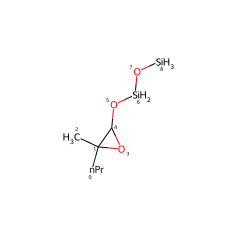 CCCC1(C)OC1O[SiH2]O[SiH3]